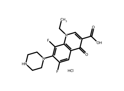 CCn1cc(C(=O)O)c(=O)c2cc(F)c(N3CCNCC3)c(F)c21.Cl